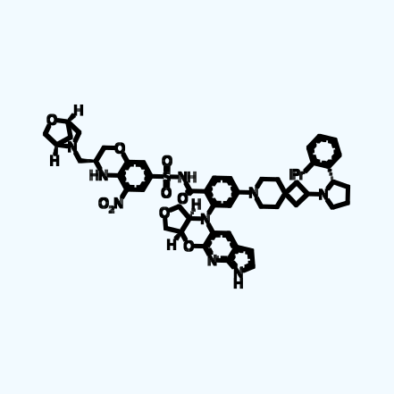 CC(C)c1ccccc1[C@@H]1CCCN1C1CC2(CCN(c3ccc(C(=O)NS(=O)(=O)c4cc5c(c([N+](=O)[O-])c4)N[C@@H](CN4C[C@@H]6C[C@H]4CO6)CO5)c(N4c5cc6cc[nH]c6nc5O[C@@H]5COC[C@H]54)c3)CC2)C1